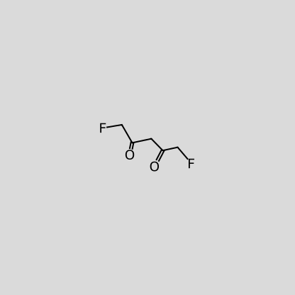 O=C(CF)CC(=O)CF